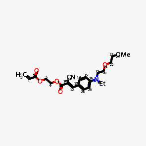 C=CC(=O)OCCOC(=O)/C(C#N)=C/c1ccc(N(CC)CCOCCOC)cc1